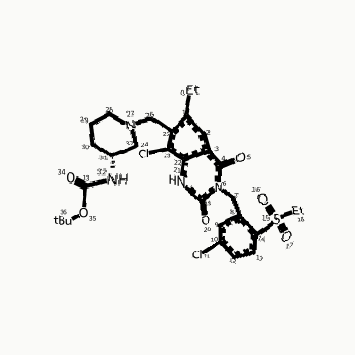 CCc1cc2c(=O)n(Cc3cc(Cl)ccc3S(=O)(=O)CC)c(=O)[nH]c2c(Cl)c1CN1CCC[C@@H](NC(=O)OC(C)(C)C)C1